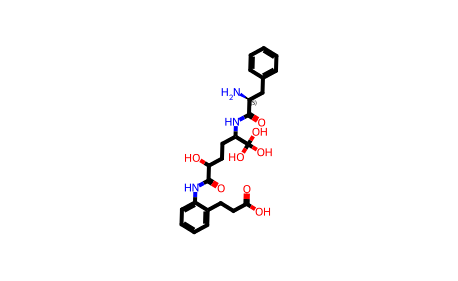 N[C@@H](Cc1ccccc1)C(=O)NC(CCC(O)C(=O)Nc1ccccc1CCC(=O)O)C(O)(O)O